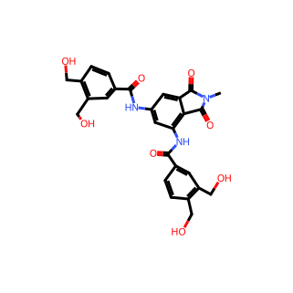 CN1C(=O)c2cc(NC(=O)c3ccc(CO)c(CO)c3)cc(NC(=O)c3ccc(CO)c(CO)c3)c2C1=O